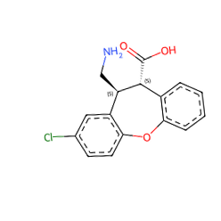 NC[C@@H]1c2cc(Cl)ccc2Oc2ccccc2[C@H]1C(=O)O